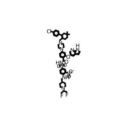 CC1(C)CCC(CN2CCN(c3ccc(C(=O)NS(=O)(=O)c4ccc(NCC5CCN(C(CF)CF)CC5)c([N+](=O)[O-])c4)c(Oc4cnc5[nH]ccc5c4)c3)CC2)=C(c2ccc(Cl)cc2)C1